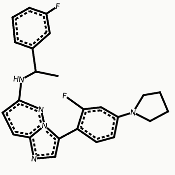 CC(Nc1ccc2ncc(-c3ccc(N4CCCC4)cc3F)n2n1)c1cccc(F)c1